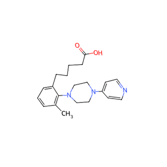 Cc1cccc(CCCCC(=O)O)c1N1CCN(c2ccncc2)CC1